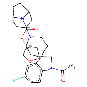 CC(=O)N1CC2(CCN(C3CC4CCC(C3)N4C(=O)O[C@@H]3CCOC3)CC2)c2cc(F)ccc21